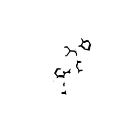 CCC(CC)[C@@H](Oc1ccccc1Cl)[C@H](C)OC(=O)[C@@H](NC(=O)c1nccc(OC)c1OCOC(C)=O)C(C)C